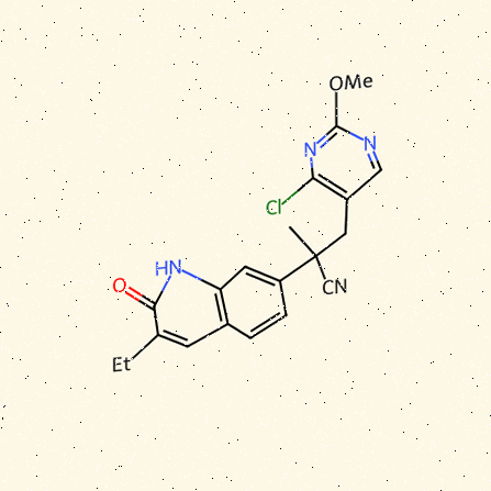 CCc1cc2ccc(C(C)(C#N)Cc3cnc(OC)nc3Cl)cc2[nH]c1=O